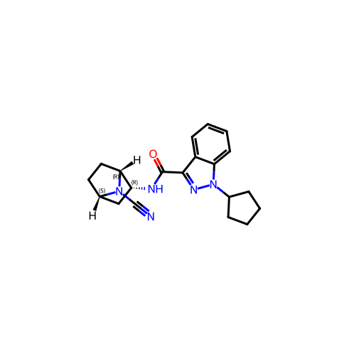 N#CN1[C@H]2CC[C@@H]1[C@H](NC(=O)c1nn(C3CCCC3)c3ccccc13)C2